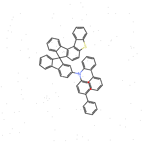 c1ccc(-c2ccc(N(c3ccc4c(c3)C3(c5ccccc5-4)c4ccccc4-c4c3ccc3sc5ccccc5c43)c3ccccc3-c3ccccc3)cc2)cc1